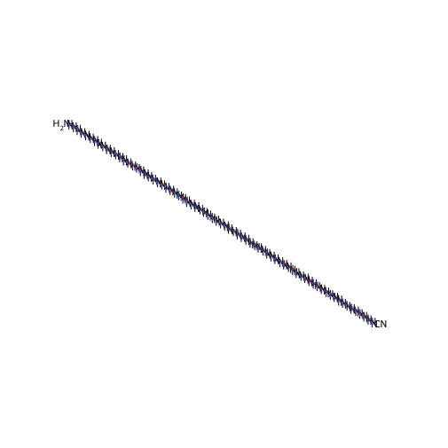 N#C/N=N/N=N/N=N/N=N/N=N/N=N/N=N/N=N/N=N/N=N/N=N/N=N/N=N/N=N/N=N/N=N/N=N/N=N/N=N/N=N/N=N/N=N/N=N/N=N/N=N/N=N/N=N/N=N/N=N/N=N/N=N/N=N/N=N/N=N/N=N/N=N/N=N/N=N/N=N/N=N/N=N/N=N/N=N/N=N/N=N/N=N/N=N/N=N/N=N/N=N/N=N/N=N/N=N/N=N/N=N/N=N/N=N/N=N/N=N/N=N/N=N/N=N/N=N/N=N/N=N/N=N/N=N/N=N/N=N/N=N/N=N/N=N/N=N/N